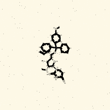 [CH2][C@@H]1[C@H]([C@H](CC=C)OC(c2ccccc2)(c2ccccc2)c2ccc(OC)cc2)O[C@@H](n2ccc(=O)[nH]c2=O)[C@@H]1OC